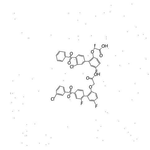 C[C@H](Oc1ccc(F)cc1-c1ccc(S(=O)(=O)c2ccccc2)c(Cl)c1)C(=O)O.O=C(O)COc1ccc(F)cc1-c1ccc(S(=O)(=O)c2cccc(Cl)c2)cc1F